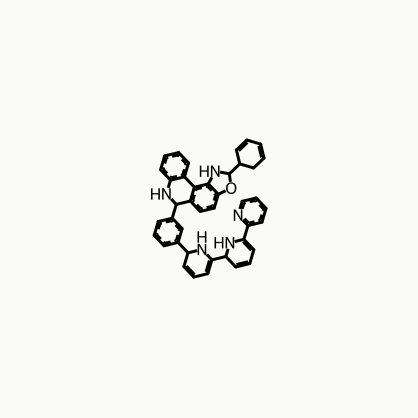 C1=CCC(C2Nc3c(ccc4c3-c3ccccc3NC4c3cccc(C4C=CC=C(C5C=CC=C(c6ccccn6)N5)N4)c3)O2)C=C1